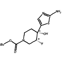 CC(C)(C)OC(=O)N1CC[C@@](O)(c2cnc(N)s2)[C@H](F)C1